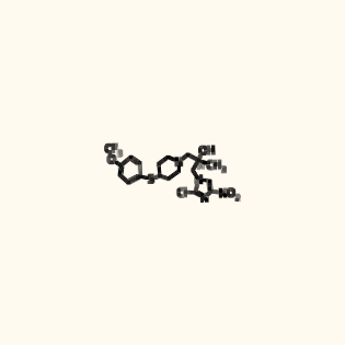 C[C@](O)(CN1CCC(Sc2ccc(OC(F)(F)F)cc2)CC1)Cn1cc([N+](=O)[O-])nc1Cl